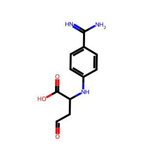 N=C(N)c1ccc(NC(CC=O)C(=O)O)cc1